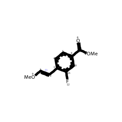 CO/C=C/c1ccc(C(=O)OC)cc1F